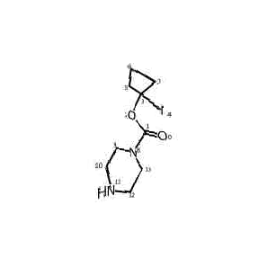 O=C(OC1(I)CCC1)N1CCNCC1